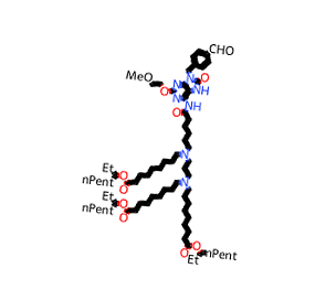 CCCCCC(CC)OC(=O)CCCCCCCCN(CCCCCCCCC(=O)OC(CC)CCCCC)CCCN(CCCCCCCCC(=O)OC(CC)CCCCC)CCCCCC(=O)Nc1nc(OCCOC)nc2c1[nH]c(=O)n2Cc1ccc(C=O)cc1